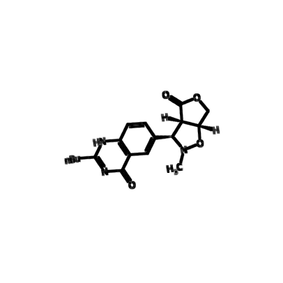 CCCCc1nc(=O)c2cc([C@H]3[C@@H]4C(=O)OC[C@@H]4ON3C)ccc2[nH]1